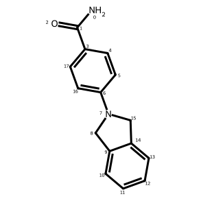 NC(=O)c1ccc(N2Cc3ccccc3C2)cc1